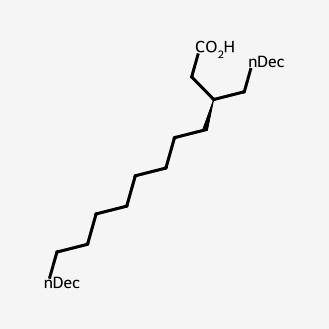 CCCCCCCCCCCCCCCCCC[C@H](CCCCCCCCCCC)CC(=O)O